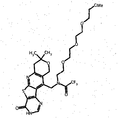 COCCOCCOCCOCCN(Cc1c2c(nc3sc4c(=O)[nH]cnc4c13)CC(C)(C)OC2)C(=O)C(F)(F)F